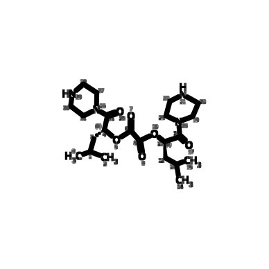 CC(C)C[C@@H](OC(=O)C(=O)O[C@H](CC(C)C)C(=O)N1CCNCC1)C(=O)N1CCNCC1